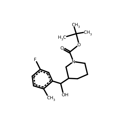 Cc1ccc(F)cc1C(O)C1CCCN(C(=O)OC(C)(C)C)C1